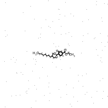 CCCCCCCCC1COC(c2ccc(C(=O)OCC)cc2F)OC1